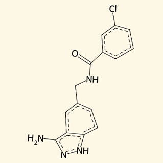 Nc1n[nH]c2ccc(CNC(=O)c3cccc(Cl)c3)cc12